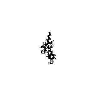 CCCCCC(C(C)=O)c1nc(C)c2c(=O)[nH]c(Cc3ccc(OC)cc3)nn12